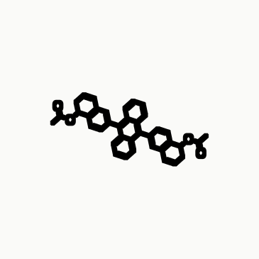 CC(=O)OC1CC=Cc2cc(-c3c4ccccc4c(-c4ccc5c(c4)C=CCC5OC(C)=O)c4ccccc34)ccc21